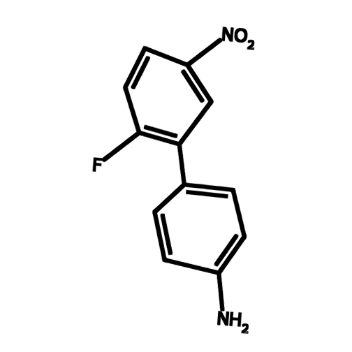 Nc1ccc(-c2cc([N+](=O)[O-])ccc2F)cc1